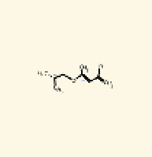 C=C(Cl)/C=C(\C)OC[C@@H](C)N